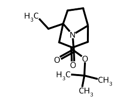 CCC12CCC(CC(=O)C1)N2C(=O)OC(C)(C)C